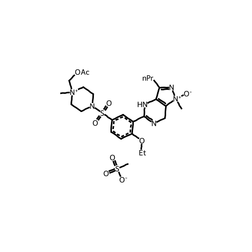 CCCC1=N[N+](C)([O-])C2=C1NC(c1cc(S(=O)(=O)N3CC[N+](C)(COC(C)=O)CC3)ccc1OCC)=NC2.CS(=O)(=O)[O-]